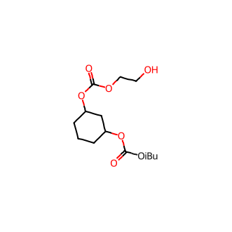 CC(C)COC(=O)OC1CCCC(OC(=O)OCCO)C1